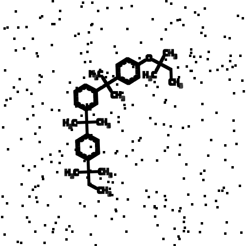 CCC(C)(C)Oc1ccc(C(C)(C)c2cccc(C(C)(C)c3ccc(C(C)(C)CC)cc3)c2)cc1